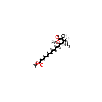 CC(C)OC(=O)CCCCCCCCCCCCC(C)C(C)C(=O)OC(C)C